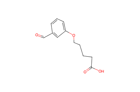 O=Cc1cccc(OCCCCC(=O)O)c1